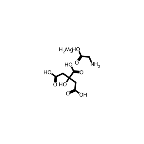 NCC(=O)O.O=C(O)CC(O)(CC(=O)O)C(=O)O.[MgH2]